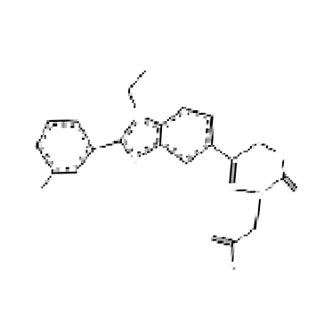 CCn1c(-c2cccc(F)c2)nc2cc(C3=NN(CC(N)=O)C(=O)SC3)ccc21